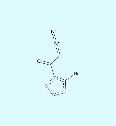 [N-]=[N+]=CC(=O)c1sccc1Br